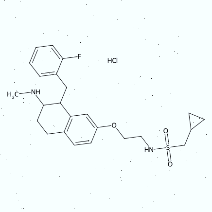 CNC1CCc2ccc(OCCNS(=O)(=O)CC3CC3)cc2C1Cc1ccccc1F.Cl